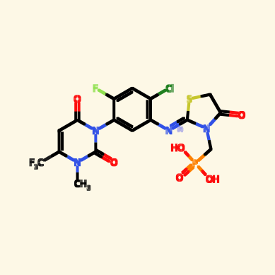 Cn1c(C(F)(F)F)cc(=O)n(-c2cc(/N=C3\SCC(=O)N3CP(=O)(O)O)c(Cl)cc2F)c1=O